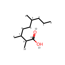 CCCC(C)CCC(C)C(C)C(=O)O